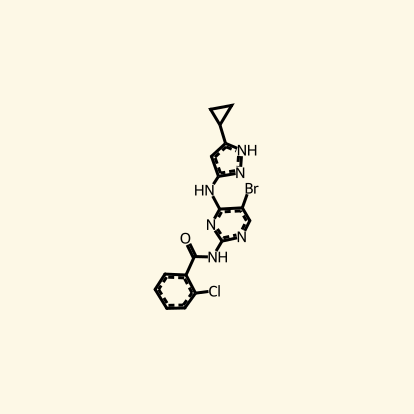 O=C(Nc1ncc(Br)c(Nc2cc(C3CC3)[nH]n2)n1)c1ccccc1Cl